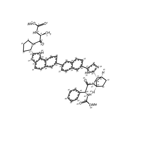 COC(=O)N[C@@H](C)C(=O)N1CCC[C@H]1c1nc2ccc3cc(-c4ccc5cc(-c6cnc([C@@H]7[C@H]8CC[C@H](C8)N7C(=O)[C@H](NC(=O)OC)c7ccccc7)[nH]6)ccc5c4)ccc3c2[nH]1